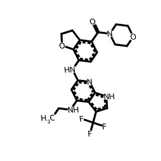 CCNc1cc(Nc2ccc(C(=O)N3CCOCC3)c3c2OCC3)nc2[nH]cc(C(F)(F)F)c12